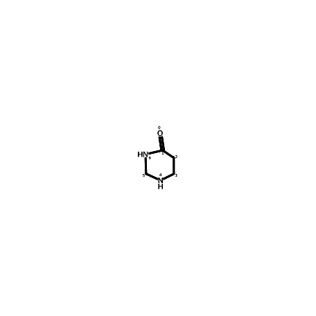 O=C1[CH]CNCN1